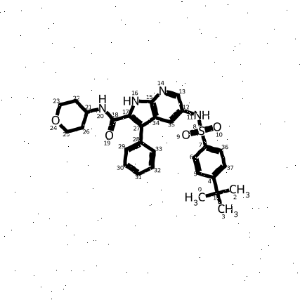 CC(C)(C)c1ccc(S(=O)(=O)Nc2cnc3[nH]c(C(=O)NC4CCOCC4)c(-c4ccccc4)c3c2)cc1